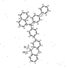 CC1(C)c2ccccc2Oc2ccc(-c3ccc(N(c4ccc(-c5ccccc5)cc4)c4cccc5ccccc45)cc3)cc21